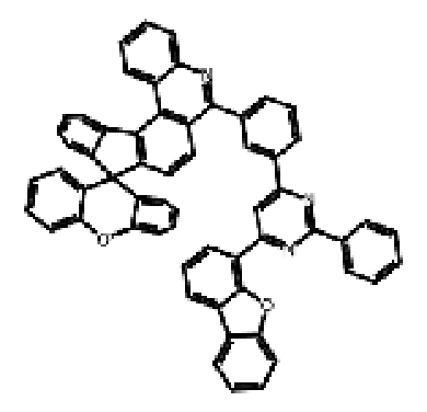 c1ccc(-c2nc(-c3cccc(-c4nc5ccccc5c5c6c(ccc45)C4(c5ccccc5Oc5ccccc54)c4ccccc4-6)c3)cc(-c3cccc4c3oc3ccccc34)n2)cc1